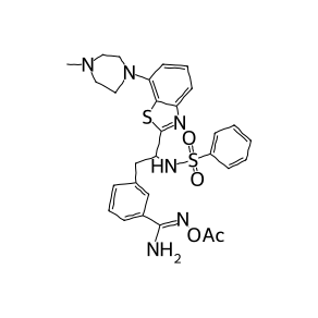 CC(=O)ON=C(N)c1cccc(CC(NS(=O)(=O)c2ccccc2)c2nc3cccc(N4CCN(C)CC4)c3s2)c1